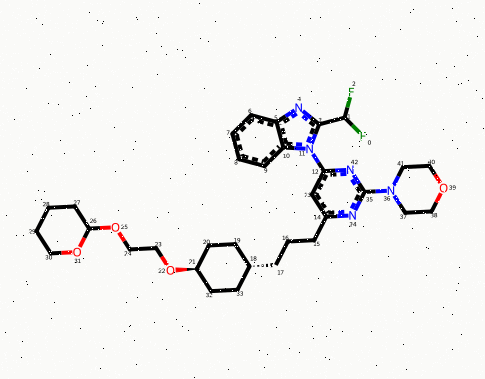 FC(F)c1nc2ccccc2n1-c1cc(CCC[C@H]2CC[C@H](OCCOC3CCCCO3)CC2)nc(N2CCOCC2)n1